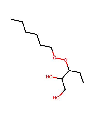 CCCCCCOOC(CC)C(O)CO